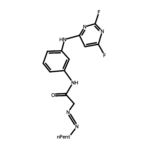 CCCCCN=NCC(=O)Nc1cccc(Nc2cc(F)nc(F)n2)c1